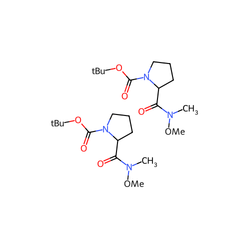 CON(C)C(=O)C1CCCN1C(=O)OC(C)(C)C.CON(C)C(=O)C1CCCN1C(=O)OC(C)(C)C